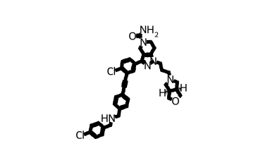 NC(=O)N1CCc2c(c(-c3ccc(Cl)c(C#Cc4ccc(CNCc5ccc(Cl)cc5)cc4)c3)nn2CCCN2C[C@H]3COC[C@H]3C2)C1